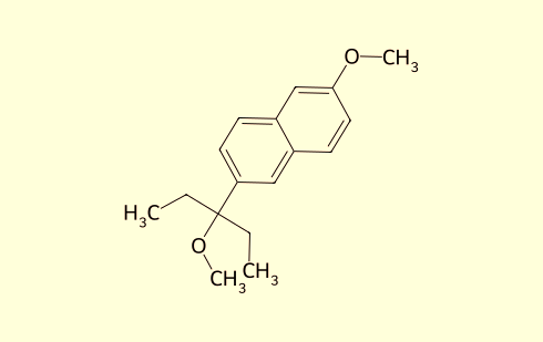 CCC(CC)(OC)c1ccc2cc(OC)ccc2c1